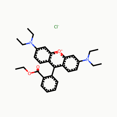 CCOC(=O)c1ccccc1-c1c2ccc(N(CC)CC)cc2[o+]c2cc(N(CC)CC)ccc12.[Cl-]